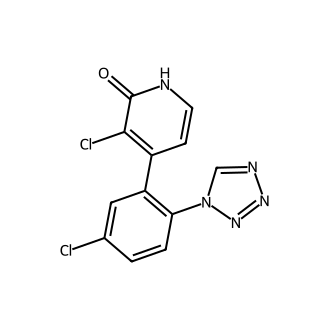 O=c1[nH]ccc(-c2cc(Cl)ccc2-n2cnnn2)c1Cl